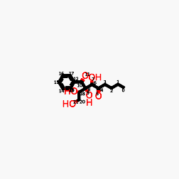 CCCCC(=O)C(O)C(O)(C(=O)c1ccccc1)C(O)CO